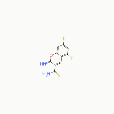 N=c1oc2cc(F)cc(F)c2cc1C(N)=S